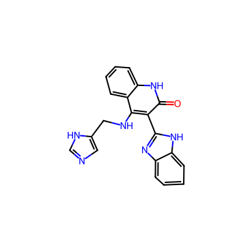 O=c1[nH]c2ccccc2c(NCc2cnc[nH]2)c1-c1nc2ccccc2[nH]1